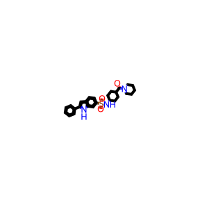 O=C(C1CCC(NS(=O)(=O)c2ccc3cc(-c4ccccc4)[nH]c3c2)CC1)N1CCCCC1